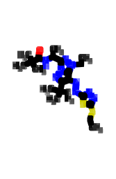 CCSc1nnc(N=Nc2c(C(C)(C)C)nn3c(C(C)NC(=O)C(C)(C)C)nn(CC)c23)s1